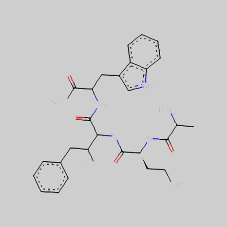 COC(=O)C(Cc1c[nH]c2ccccc12)NC(=O)C(NC(=O)[C@H](CCSC)NC(=O)C(C)N)C(Cc1ccccc1)C(=O)O